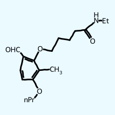 CCCOc1ccc(C=O)c(OCCCCC(=O)NCC)c1C